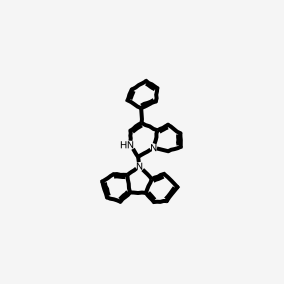 C1=CCN2C(=C1)C(c1ccccc1)=CNC2n1c2ccccc2c2ccccc21